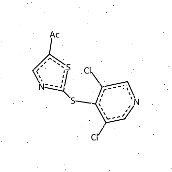 CC(=O)c1cnc(Sc2c(Cl)cncc2Cl)s1